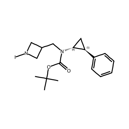 CC(C)(C)OC(=O)N(CC1CN(I)C1)[C@@H]1C[C@H]1c1ccccc1